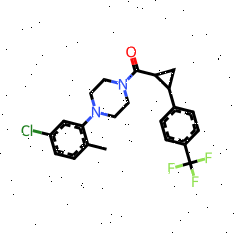 Cc1ccc(Cl)cc1N1CCN(C(=O)C2CC2c2ccc(C(F)(F)F)cc2)CC1